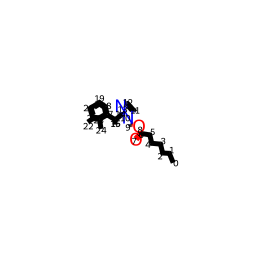 CCCCCCC(=O)OCn1ccnc1C(C)c1cccc(C)c1C